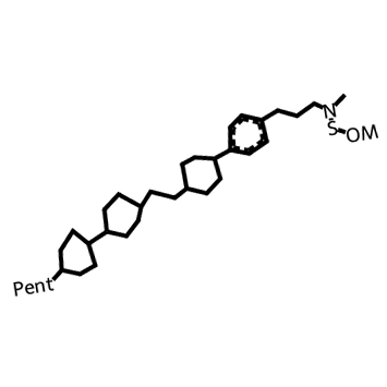 CCCCCC1CCC(C2CCC(CCC3CCC(c4ccc(CCCN(C)SOC)cc4)CC3)CC2)CC1